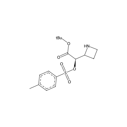 Cc1ccc(S(=O)(=O)O[C@@H](C(=O)OC(C)(C)C)C2CCN2)cc1